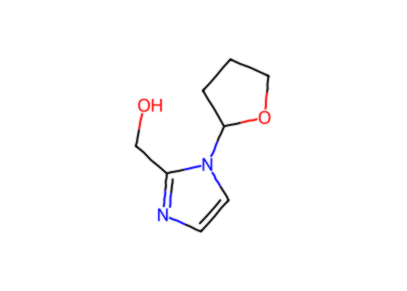 OCc1nccn1C1CCCO1